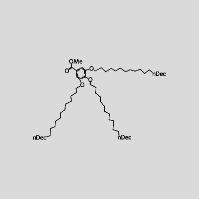 CCCCCCCCCCCCCCCCCCCCCCOc1cc(C(=O)OC)cc(OCCCCCCCCCCCCCCCCCCCCCC)c1OCCCCCCCCCCCCCCCCCCCCCC